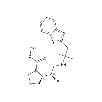 CC(C)(Cc1nc2ccccc2s1)NC[C@@H](O)[C@H]1CSCN1C(=O)OC(C)(C)C